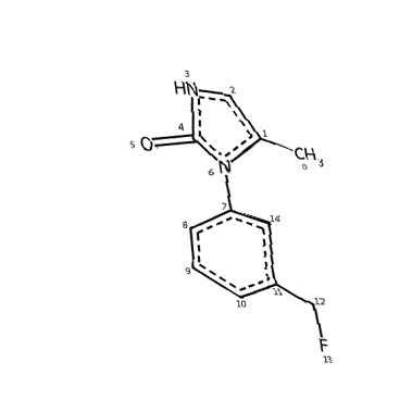 Cc1c[nH]c(=O)n1-c1cccc(CF)c1